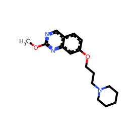 COc1ncc2ccc(OCCCN3CCCCC3)cc2n1